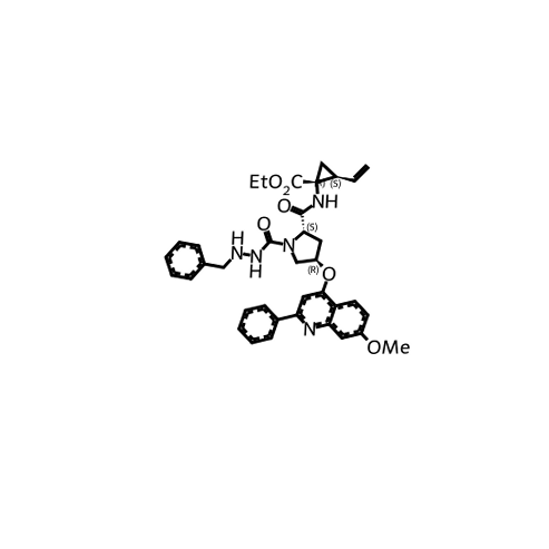 C=C[C@@H]1C[C@]1(NC(=O)[C@@H]1C[C@@H](Oc2cc(-c3ccccc3)nc3cc(OC)ccc23)CN1C(=O)NNCc1ccccc1)C(=O)OCC